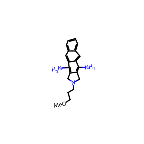 COCCCN1Cc2c(c(N)c3cc4ccccc4cc3c2N)C1